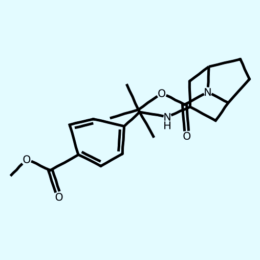 COC(=O)c1ccc(CNC2CC3CCC(C2)N3C(=O)OC(C)(C)C)cc1